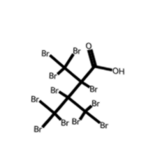 O=C(O)C(Br)(C(Br)(Br)Br)C(Br)(C(Br)(Br)Br)C(Br)(Br)Br